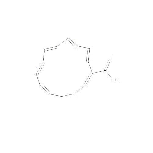 NC(=O)C1=C\OC\C=C/C=C/C=C/C=C/C=C/1